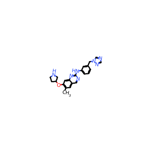 Cc1cc2cnc(Nc3cccc(Cn4cncn4)c3)nc2cc1OC1CCNC1